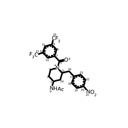 CC(=O)NC1CCN(C(=O)c2cc(C(F)(F)F)cc(C(F)(F)F)c2)C(Cc2ccc([N+](=O)[O-])cc2)C1